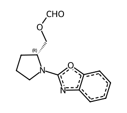 O=COC[C@H]1CCCN1c1nc2ccccc2o1